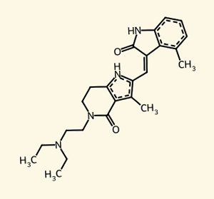 CCN(CC)CCN1CCc2[nH]c(C=C3C(=O)Nc4cccc(C)c43)c(C)c2C1=O